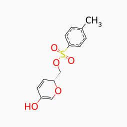 Cc1ccc(S(=O)(=O)OC[C@H]2C=CC(O)=CO2)cc1